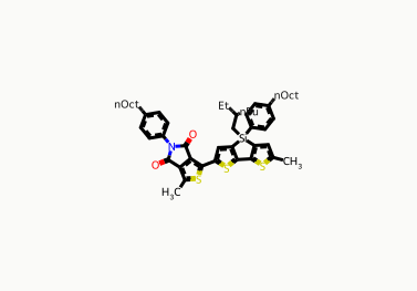 CCCCCCCCc1ccc(N2C(=O)c3c(C)sc(-c4cc5c(s4)-c4sc(C)cc4[Si]5(CC(CC)CCCC)c4ccc(CCCCCCCC)cc4)c3C2=O)cc1